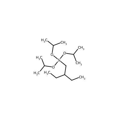 CCC(CC)C[Si](OC(C)C)(OC(C)C)OC(C)C